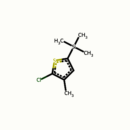 Cc1cc([Si](C)(C)C)sc1Cl